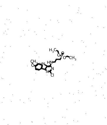 CCOP(=O)(CCCNc1nc(Cl)nc2c1[nH]c1cc(OC)ccc12)OCC